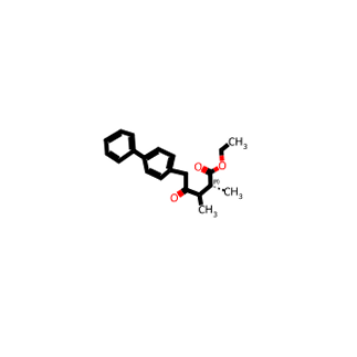 CCOC(=O)[C@H](C)C(C)C(=O)Cc1ccc(-c2ccccc2)cc1